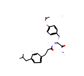 CCCCCNC(=O)[C@H](Cc1ccc(OC(C(=O)O)C(=O)O)cc1)NC(=O)CCc1ccc(CC(C(=O)O)C(=O)O)cc1